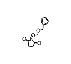 O=C1CCC(=O)N1OCOCc1ccccc1